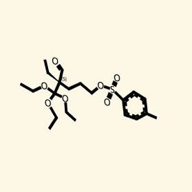 CCOC(OCC)(OCC)[C@@](C=O)(CC)CCCOS(=O)(=O)c1ccc(C)cc1